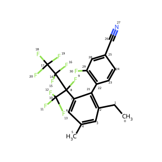 CCc1[c]c(C)cc(C(F)(C(F)(F)F)C(F)(F)C(F)(F)F)c1-c1ccc(C#N)cc1F